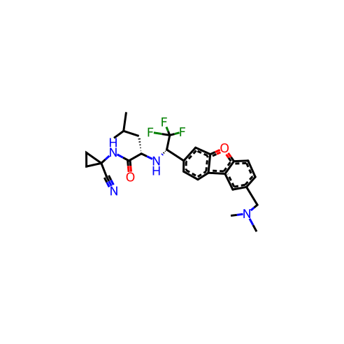 CC(C)C[C@H](N[C@@H](c1ccc2c(c1)oc1ccc(CN(C)C)cc12)C(F)(F)F)C(=O)NC1(C#N)CC1